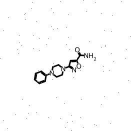 NC(=O)c1cc(N2CCN(c3ccccc3)CC2)no1